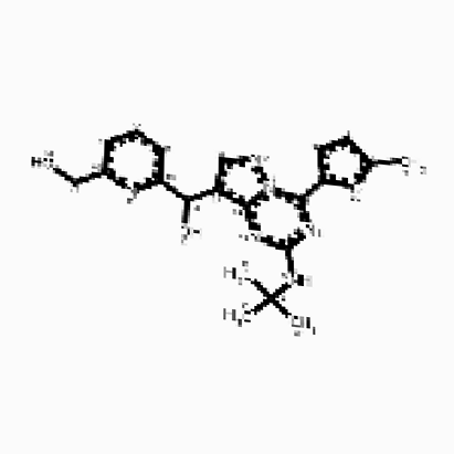 Cc1ccc(-c2nc(NC(C)(C)C)nc3c(C(O)c4cccc(CO)n4)cnn23)o1